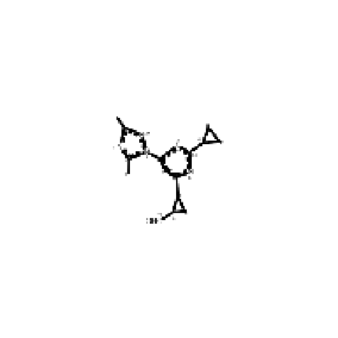 Cc1nc(C)n(-c2cc(C3CC3C=O)nc(C3CC3)n2)n1